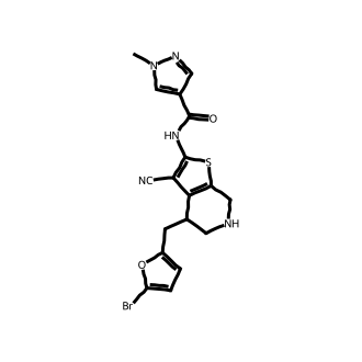 Cn1cc(C(=O)Nc2sc3c(c2C#N)C(Cc2ccc(Br)o2)CNC3)cn1